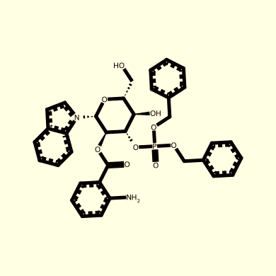 Nc1ccccc1C(=O)O[C@@H]1[C@@H](OP(=O)(OCc2ccccc2)OCc2ccccc2)[C@H](O)[C@@H](CO)O[C@H]1n1ccc2ccccc21